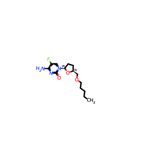 CCCCCOC[C@@H]1CC[C@H](n2cc(F)c(N)nc2=O)O1